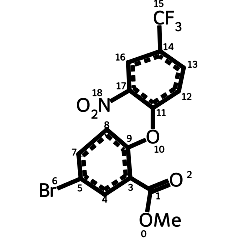 COC(=O)c1cc(Br)ccc1Oc1ccc(C(F)(F)F)cc1[N+](=O)[O-]